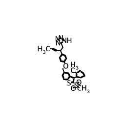 CC#CC(Cc1nnn[nH]1)c1ccc(OCc2ccc3sc(S(C)(=O)=O)c(-c4ccccc4C)c3c2)cc1